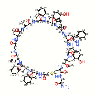 CCCC[C@H]1C(=O)N(C)CC(=O)N[C@@H](CC(=O)O)C(=O)N[C@@H](C(C)C)C(=O)N(C)[C@@H](Cc2ccccc2)C(=O)N[C@@H](Cc2ccc(O)cc2)C(=O)N2CCC[C@@H]2C(=O)N[C@@H](Cc2c[nH]c3ccccc23)C(=O)N[C@@H](Cc2ccc(O)cc2)C(=O)N[C@@H](CC(C)C)C(=O)N[C@H](C(=O)NCC(N)=O)CSCC(=O)N[C@@H](Cc2ccccc2)C(=O)N(C)[C@@H](Cc2ccccc2)C(=O)N1C